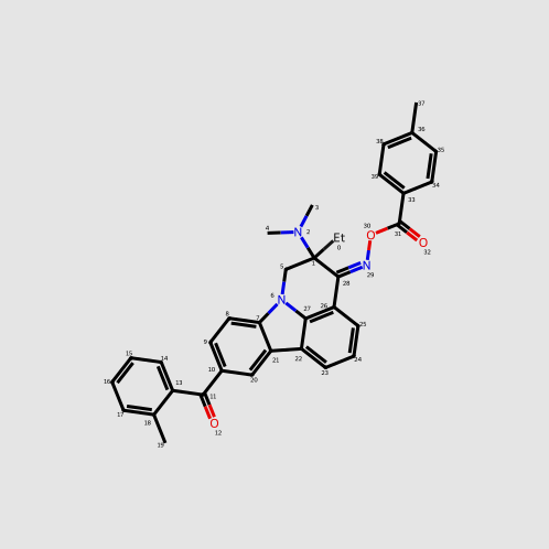 CCC1(N(C)C)Cn2c3ccc(C(=O)c4ccccc4C)cc3c3cccc(c32)/C1=N/OC(=O)c1ccc(C)cc1